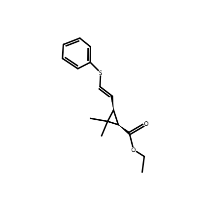 CCOC(=O)[C@@H]1[C@H](/C=C/Sc2ccccc2)C1(C)C